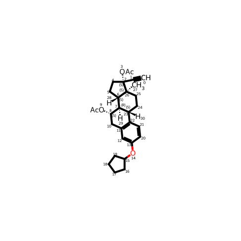 C#C[C@]1(OC(C)=O)CC[C@H]2[C@@H]3[C@@H](OC(C)=O)Cc4cc(OC5CCCC5)ccc4[C@H]3CC[C@@]21C